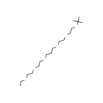 CCOCCOCCOCCCOCCOCCOC(C)(C)C